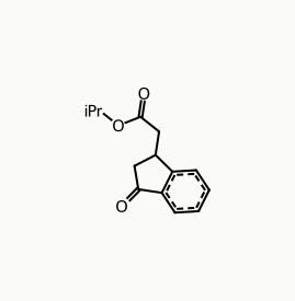 CC(C)OC(=O)CC1CC(=O)c2ccccc21